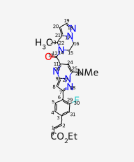 CCOC(=O)/C=C/c1ccc(-c2cc3nc(C(=O)N4CCn5nccc5C4C)cc(NC)n3n2)c(F)c1